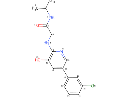 CC(C)NC(=O)CNc1ncc(-c2cccc(Cl)c2)cc1O